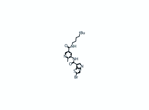 Cc1ncc(C(=O)NCCCCC(C)(C)C)cc1NC(=O)c1cnn2cc(Br)sc12